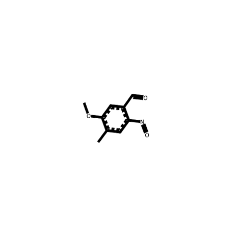 COc1cc(C=O)c(N=O)cc1C